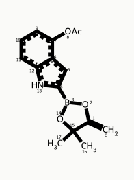 C=C1OB(c2cc3c(OC(C)=O)cccc3[nH]2)OC1(C)C